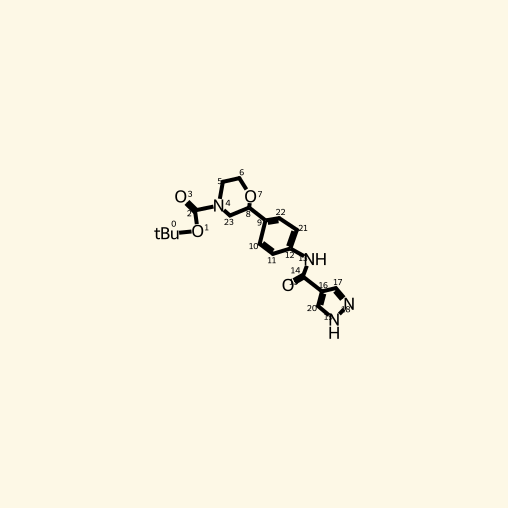 CC(C)(C)OC(=O)N1CCOC(c2ccc(NC(=O)c3cn[nH]c3)cc2)C1